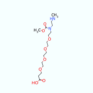 CNCCN(CCOCCOCCOCCOCCC(=O)O)C(=O)OC